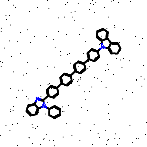 C1=CCC(n2c(-c3ccc(-c4ccc(-c5ccc(-c6ccc(-n7c8c(c9ccccc97)=CCCC=8)cc6)cc5)cc4)cc3)nc3ccccc32)C=C1